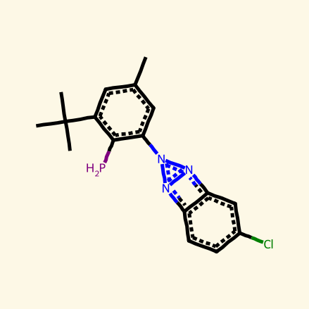 Cc1cc(-n2n3c4ccc(Cl)cc4n23)c(P)c(C(C)(C)C)c1